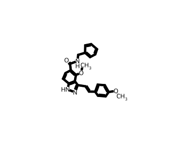 COc1ccc(C=Cc2n[nH]c3ccc(C(=O)NCc4ccccc4)c(OC)c23)cc1